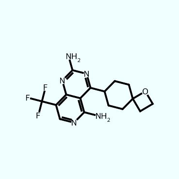 Nc1nc(C2CCC3(CCO3)CC2)c2c(N)ncc(C(F)(F)F)c2n1